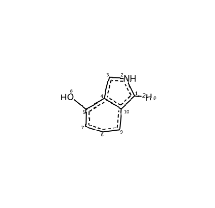 [2H]c1[nH]cc2c(O)cccc12